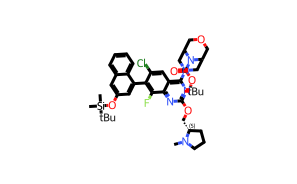 CN1CCC[C@H]1COc1nc(N2CC3COCC(C2)N3C(=O)OC(C)(C)C)c2cc(Cl)c(-c3cc(O[Si](C)(C)C(C)(C)C)cc4ccccc34)c(F)c2n1